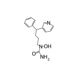 NC(=O)N(O)CCCC(c1ccccc1)c1cccnc1